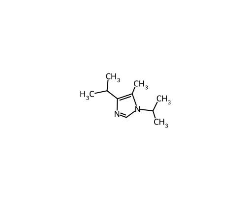 Cc1c(C(C)C)ncn1C(C)C